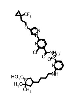 CC1(C)CC(CCCCNc2cccc(S(=O)(=O)NC(=O)c3ccc(-n4cc(OCCC5(C(F)(F)F)CC5)cn4)nc3Cl)n2)CN1C(=O)O